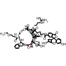 CCOCCNC(=O)[C@@H]1CSSC[C@@H]2NC(=O)[C@H](CCCCNC(=O)c3ccc4c(c3)C3(OC4=O)c4ccc(O)cc4Oc4cc(O)ccc43)NC(=O)CSC[C@H](NC(=O)[C@H](CC(=O)O)NC(=O)CNC(=O)[C@H](CCCNC(=N)N)NC2=O)C(=O)N[C@@H](Cc2ccccc2)C(=O)N1